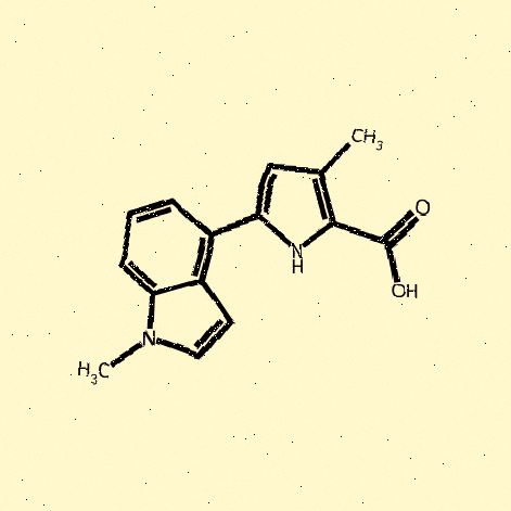 Cc1cc(-c2cccc3c2ccn3C)[nH]c1C(=O)O